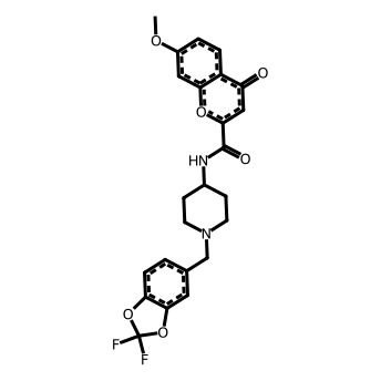 COc1ccc2c(=O)cc(C(=O)NC3CCN(Cc4ccc5c(c4)OC(F)(F)O5)CC3)oc2c1